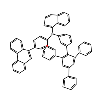 c1ccc(-c2cc(-c3ccccc3)c(-c3cccc(N(c4ccc(-c5cc6ccccc6c6ccccc56)cc4)c4cccc5ccccc45)c3)c(-c3ccccc3)c2)cc1